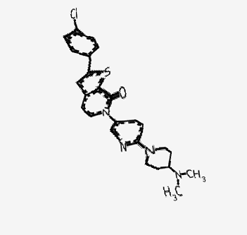 CN(C)C1CCN(c2ccc(-n3ccc4cc(-c5ccc(Cl)cc5)sc4c3=O)cn2)CC1